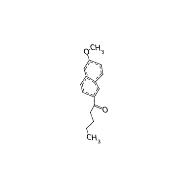 CCCCC(=O)c1ccc2cc(OC)ccc2c1